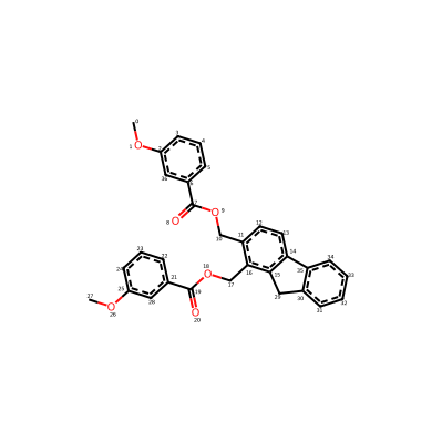 COc1cccc(C(=O)OCc2ccc3c(c2COC(=O)c2cccc(OC)c2)Cc2ccccc2-3)c1